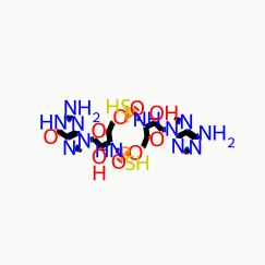 Nc1nc2c(ncn2C2OC3COP(=O)(S)NC4C(COP(=O)(S)NC3C2O)OC(n2cnc3c(N)ncnc32)C4O)c(=O)[nH]1